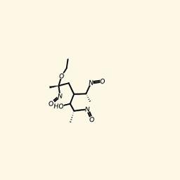 CCO[C@](C)(CC(C(O)[C@@H](C)N=O)[C@@H](C)N=O)N=O